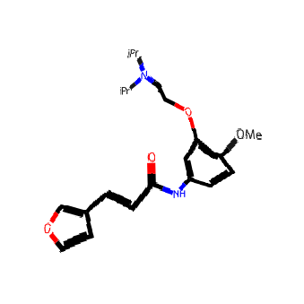 COc1ccc(NC(=O)C=Cc2ccoc2)cc1OCCN(C(C)C)C(C)C